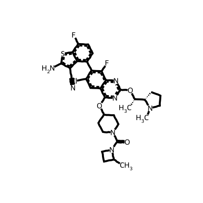 CC1CCN1C(=O)N1CCC(Oc2nc(O[C@@H](C)[C@@H]3CCCN3C)nc3c(F)c(-c4ccc(F)c5sc(N)c(C#N)c45)c(Cl)cc23)CC1